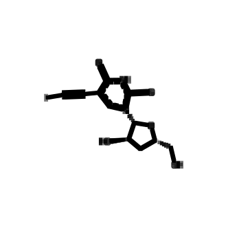 O=c1[nH]c(=O)n([C@@H]2O[C@H](CO)C[C@H]2O)cc1C#CI